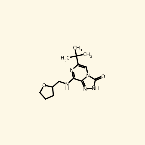 CC(C)(C)c1cn2c(=O)[nH]nc2c(NCC2CCCO2)n1